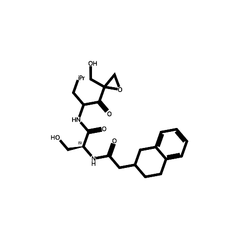 CC(C)CC(NC(=O)[C@H](CO)NC(=O)CC1CCc2ccccc2C1)C(=O)C1(CO)CO1